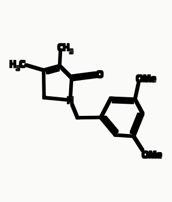 COc1cc(CN2CC(C)=C(C)C2=O)cc(OC)c1